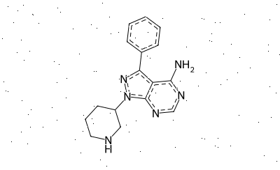 Nc1ncnc2c1c(-c1ccccc1)nn2C1CCCNC1